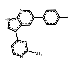 Cc1ccc(-c2cnc3[nH]cc(-c4ccnc(N)n4)c3c2)cc1